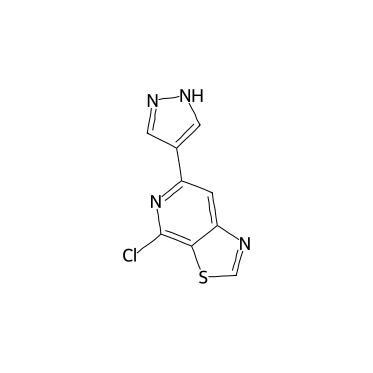 Clc1nc(-c2cn[nH]c2)cc2ncsc12